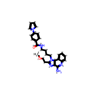 COCCc1nc2c(N)nc3ccccc3c2n1CCCCNC(=O)c1ccc(-n2cccc2)cc1